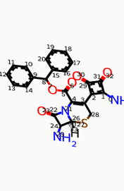 Nc1c(C2=C(C(=O)OC(c3ccccc3)c3ccccc3)N3C(=O)C(N)[C@H]3SC2)c(=O)c1=O